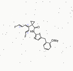 COc1ccccc1Cc1cnc(NC(=O)C2(C(/C=C/F)=C/C=C/F)CC2)s1